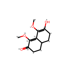 COC1=C(O)CCC2CCC(=O)C(OC)=C12